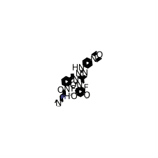 COc1cc(OC)c(F)c(N2Cc3cnc(Nc4ccc(N5CCOCC5)cc4)nc3N(C(C)c3cccc(NC(=O)/C=C/CN(C)C)c3)C2=O)c1F